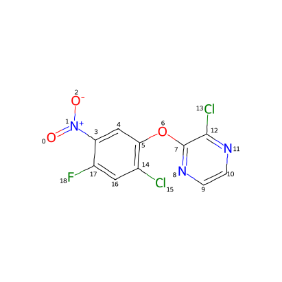 O=[N+]([O-])c1cc(Oc2nccnc2Cl)c(Cl)cc1F